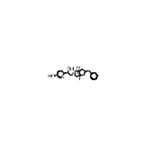 Oc1ccc(C(O)CN2C[C@H]3CC(Cc4ccccc4)C[C@H]3C2)nc1